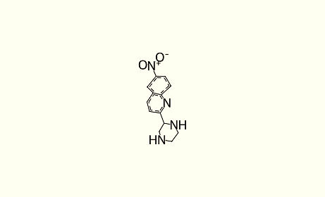 O=[N+]([O-])c1ccc2nc(C3CNCCN3)ccc2c1